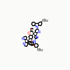 CC(C)(C)c1ccc2c(c1)c1ccccc1n2-c1cnc2c(c1)C1(c3ccccc3Oc3cc4c(cc31)-c1ccccc1C41c3cccnc3-c3ncccc31)c1cc(-n3c4ccccc4c4cc(C(C)(C)C)ccc43)cnc1-2